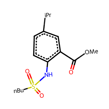 CCCCS(=O)(=O)Nc1ccc(C(C)C)cc1C(=O)OC